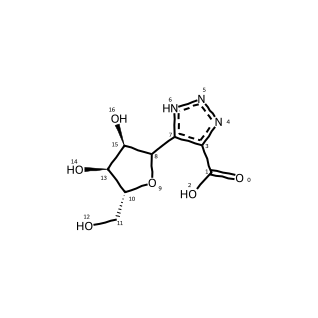 O=C(O)c1nn[nH]c1C1O[C@H](CO)[C@@H](O)[C@H]1O